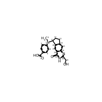 CN(c1ccc(C(=O)O)cc1)C1CCc2cc3nc(CO)[nH]c(=O)c3cc21